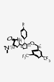 C[C@@H](O[C@H]1CC[C@@H]([C@H]2C[C@H](N(C)C)C(=O)N2)[C@@H]1c1ccc(F)cc1)c1cc(C(F)(F)F)cc(C(F)(F)F)c1